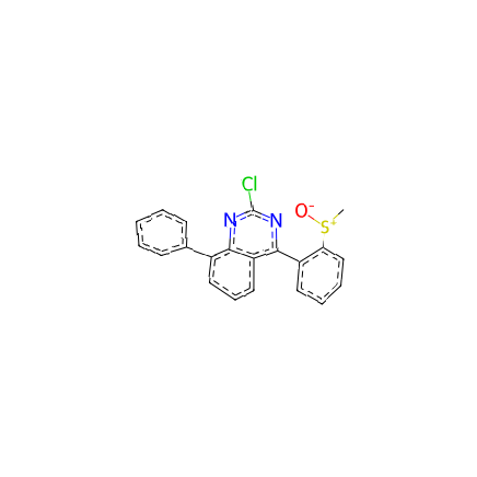 C[S+]([O-])c1ccccc1-c1nc(Cl)nc2c(-c3ccccc3)cccc12